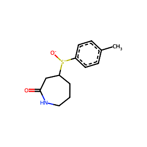 Cc1ccc([S+]([O-])C2CCCNC(=O)C2)cc1